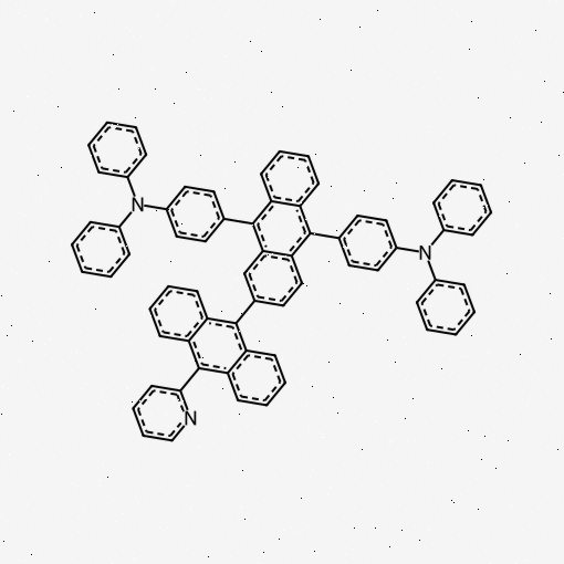 c1ccc(N(c2ccccc2)c2ccc(-c3c4ccccc4c(-c4ccc(N(c5ccccc5)c5ccccc5)cc4)c4cc(-c5c6ccccc6c(-c6ccccn6)c6ccccc56)ccc34)cc2)cc1